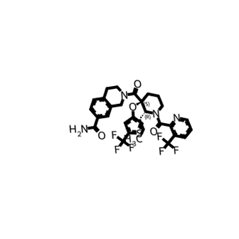 CCC[C@H]1N(C(=O)c2ncccc2C(F)(F)F)CCC[C@@]1(Oc1csc(C(F)(F)F)c1)C(=O)N1CCc2ccc(C(N)=O)cc2C1